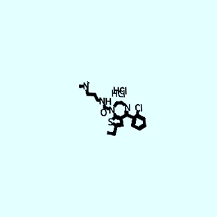 CCc1cc2c(s1)N(C(=O)NCCCN(C)C)CCN=C2c1ccccc1Cl.Cl.Cl